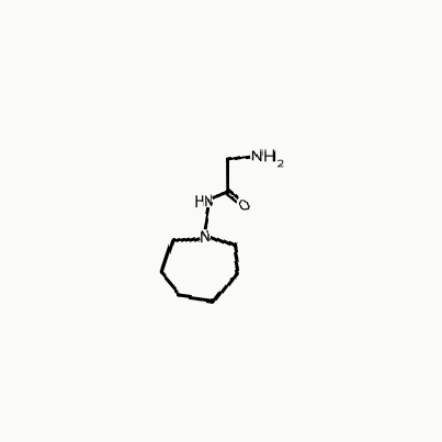 NCC(=O)NN1CCCCCC1